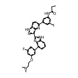 CCC(=O)Nc1cc(I)cc(-c2ccc3[nH]nc(-c4nc5c(-c6cc(F)cc(OCCN(C)C)c6)cccc5[nH]4)c3n2)c1